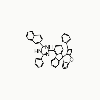 c1ccc(C2=NC(c3cccc4c3-c3ccccc3C43c4ccccc4Oc4ccc(-c5ccccc5)cc43)NC(c3ccc4ccccc4c3)N2)cc1